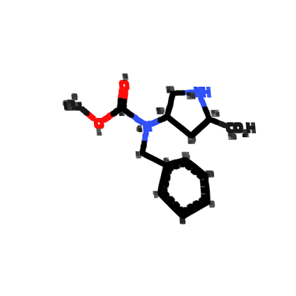 CC(C)(C)OC(=O)N(Cc1ccccc1)C1CNC(C(=O)O)C1